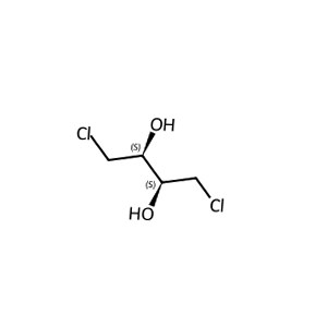 O[C@H](CCl)[C@H](O)CCl